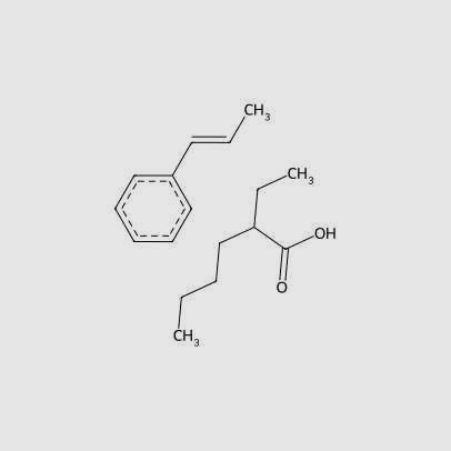 CC=Cc1ccccc1.CCCCC(CC)C(=O)O